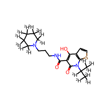 [2H]C([2H])([2H])C([2H])(n1c(=O)c(C(=O)NCCCN2C([2H])([2H])C([2H])([2H])C([2H])([2H])C([2H])([2H])C2([2H])[2H])c(O)c2ccsc21)C([2H])([2H])[2H]